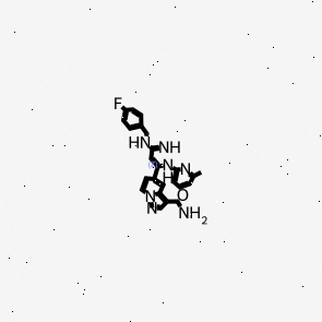 Cc1cccc(N/C(=C\C(=N)NCc2ccc(F)cc2)c2ccn3ncc(C(N)=O)c3c2)n1